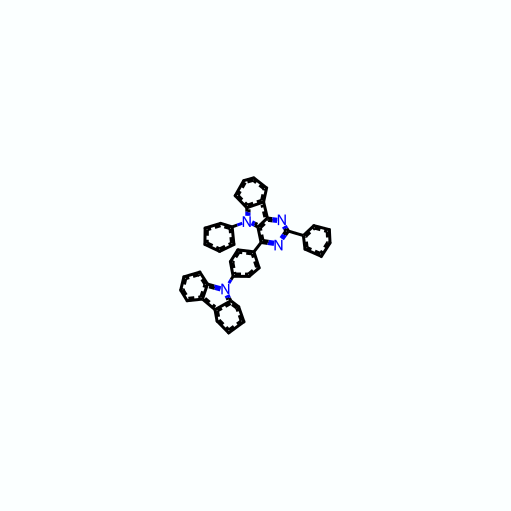 c1ccc(-c2nc(-c3ccc(-n4c5ccccc5c5ccccc54)cc3)c3c(n2)c2ccccc2n3-c2ccccc2)cc1